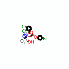 Clc1cccc([C@]2(Cn3ccnc3)OC[C@@H](COc3ccc(Br)cc3)O2)c1Cl.O=[N+]([O-])O